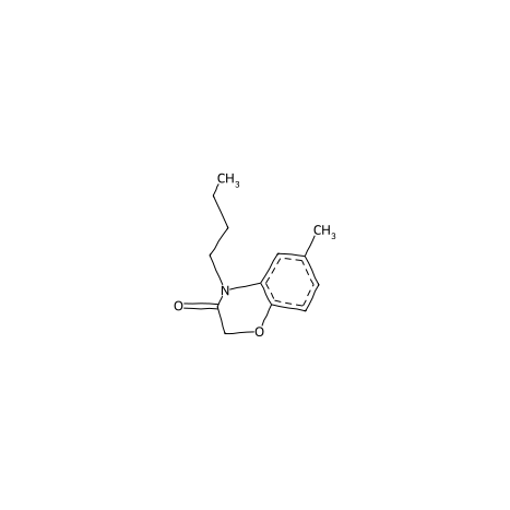 CCCCN1C(=O)COc2ccc(C)cc21